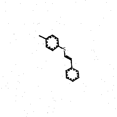 Cc1ccc(SC=Cc2ccccc2)cc1